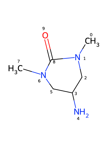 CN1CC(N)CN(C)C1=O